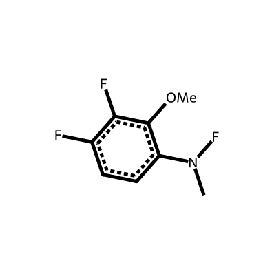 COc1c(N(C)F)ccc(F)c1F